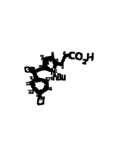 CCCCn1c(CCC(=O)O)ccc1C(=O)c1ccc(Cl)cc1